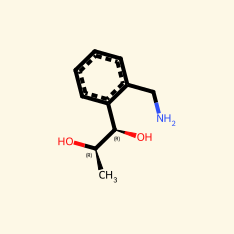 C[C@@H](O)[C@H](O)c1ccccc1CN